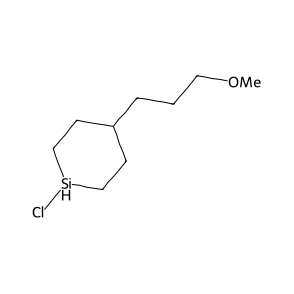 COCCCC1CC[SiH](Cl)CC1